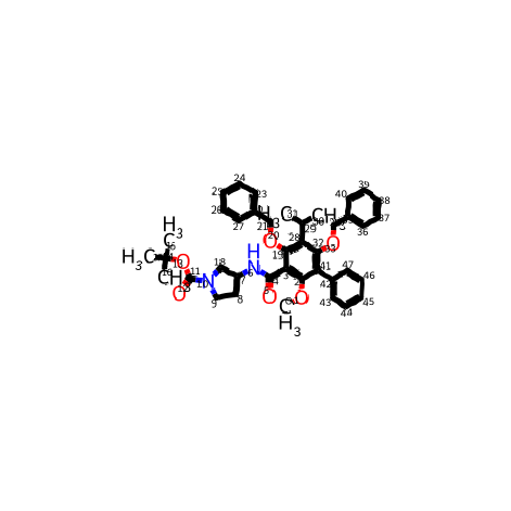 COc1c(C(=O)NC2CCN(C(=O)OC(C)(C)C)C2)c(OCc2ccccc2)c(C(C)C)c(OCc2ccccc2)c1-c1ccccc1